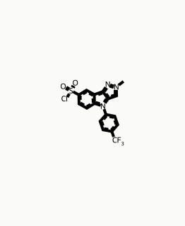 Cn1cc2c(n1)c1cc(S(=O)(=O)Cl)ccc1n2-c1ccc(C(F)(F)F)cc1